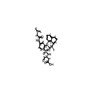 C[C@H](c1cccc2ccccc12)[C@@H](C)Oc1cc(NC(=O)CN(C)C)ccc1S(=O)(=O)NC(C=O)CC(=O)O